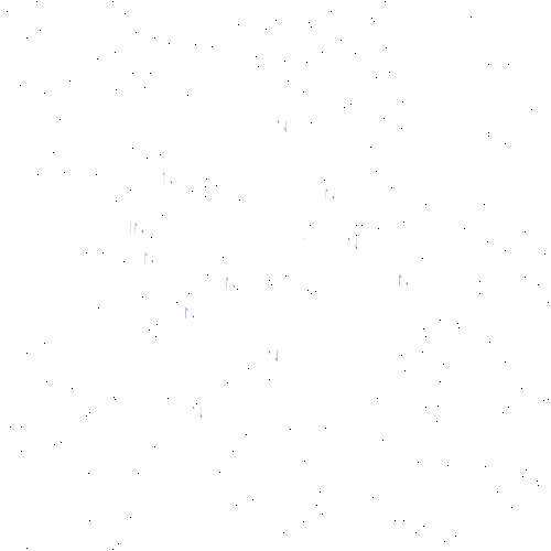 CN1CCN(C(=O)Nc2cncc(-c3cnc4[nH]nc(-c5nc6c(C(=O)N(C)C)cncc6[nH]5)c4c3)c2)CC1